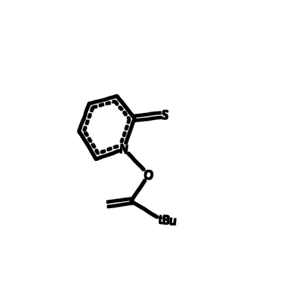 C=C(On1ccccc1=S)C(C)(C)C